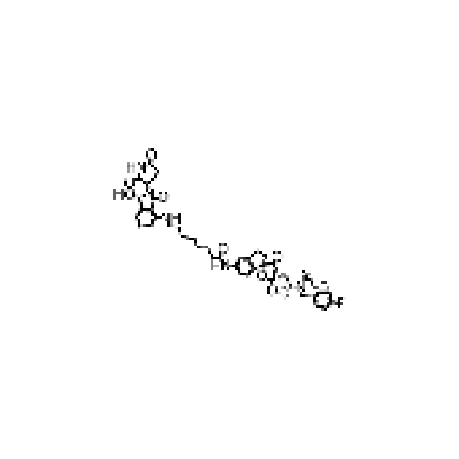 C[C@H](N(Cc1ccc(F)cc1)C(=O)CN1C(=O)O[C@@]2(CCc3cc(NC(=O)CCCCCCCNc4cccc5c4C(=O)N(C4CCC(=O)NC4=O)C5O)ccc32)C1=O)C(F)(F)F